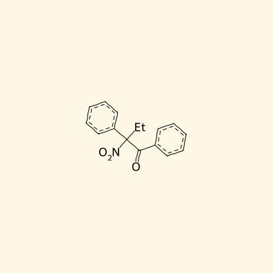 CCC(C(=O)c1ccccc1)(c1ccccc1)[N+](=O)[O-]